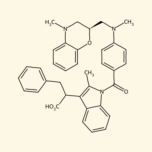 Cc1c(C(Cc2ccccc2)C(=O)O)c2ccccc2n1C(=O)c1ccc(N(C)C[C@@H]2CN(C)c3ccccc3O2)cc1